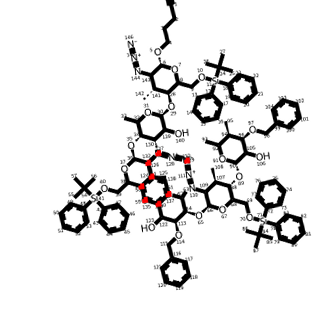 C#CCCCO[C@@H]1OC(CO[Si](c2ccccc2)(c2ccccc2)C(C)(C)C)[C@@H](O[C@@H]2OC(C)[C@@H](O[C@@H]3OC(CO[Si](c4ccccc4)(c4ccccc4)C(C)(C)C)[C@@H](O[C@@H]4OC(C)[C@@H](O[C@@H]5OC(CO[Si](c6ccccc6)(c6ccccc6)C(C)(C)C)[C@@H](O[C@@H]6OC(C)[C@@H](C)[C@@H](OCc7ccccc7)C6O)[C@H](C)C5N=[N+]=[N-])[C@@H](OCc5ccccc5)C4O)[C@H](C)C3N=[N+]=[N-])[C@@H](OCc3ccccc3)C2O)[C@H](C)C1N=[N+]=[N-]